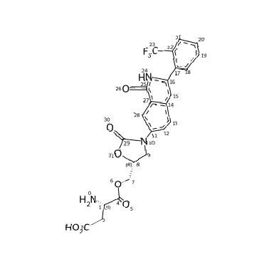 N[C@@H](CC(=O)O)C(=O)OC[C@H]1CN(c2ccc3cc(-c4ccccc4C(F)(F)F)[nH]c(=O)c3c2)C(=O)O1